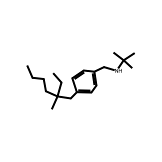 CCCCC(C)(CC)Cc1ccc(CNC(C)(C)C)cc1